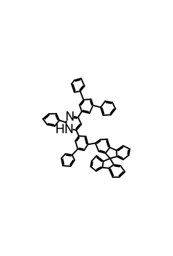 C1=C(c2cc(-c3ccccc3)cc(-c3ccc4c(c3)C3(c5ccccc5-c5ccccc53)c3ccccc3-4)c2)NC(c2ccccc2)N=C1c1cc(-c2ccccc2)cc(-c2ccccc2)c1